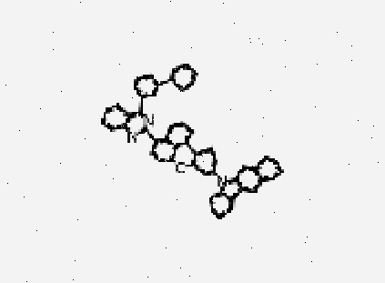 c1ccc(-c2cccc(-c3nc(-c4ccc5c6c(cccc46)-c4ccc(-n6c7ccccc7c7cc8ccccc8cc76)cc4O5)nc4ccccc34)c2)cc1